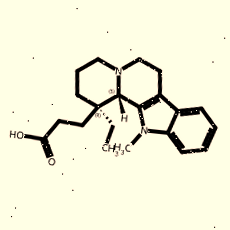 CC[C@]1(CCC(=O)O)CCCN2CCc3c(n(C)c4ccccc34)[C@@H]21